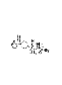 CC(C)S(=O)(=O)NCC(C)(C)C1CCC(O)(c2cccs2)CC1